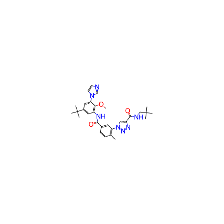 COc1c(NC(=O)c2ccc(C)c(-n3cc(C(=O)NCC(C)(C)C)nn3)c2)cc(C(C)(C)C)cc1-n1ccnc1